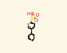 O=S(=O)(O)Sc1ccc(-c2ccccc2)cc1